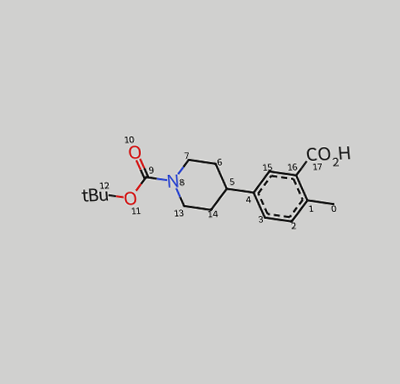 Cc1ccc(C2CCN(C(=O)OC(C)(C)C)CC2)cc1C(=O)O